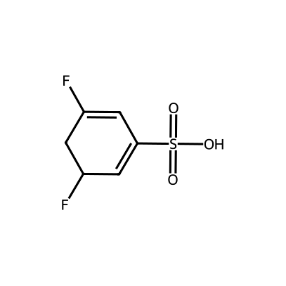 O=S(=O)(O)C1=CC(F)CC(F)=C1